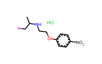 CC(CI)NCCOc1ccc([N+](=O)[O-])cc1.Cl